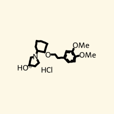 COc1ccc(CCOC2CCCCC2N2CC[C@H](O)C2)cc1OC.Cl